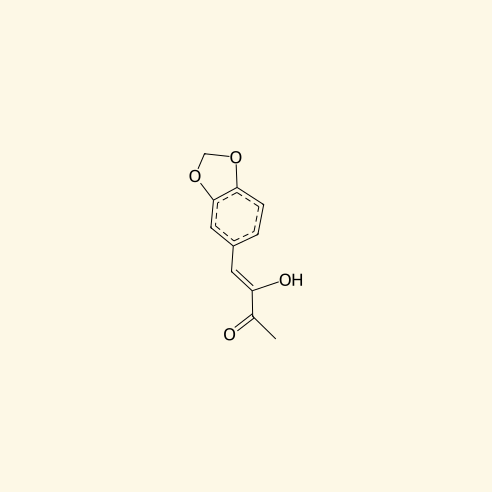 CC(=O)/C(O)=C/c1ccc2c(c1)OCO2